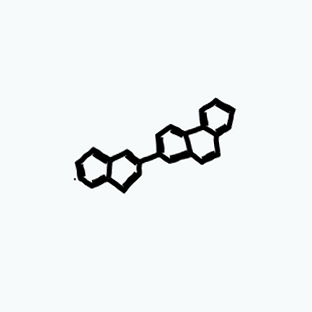 [c]1ccc2cc(-c3ccc4c(ccc5ccccc54)c3)ccc2c1